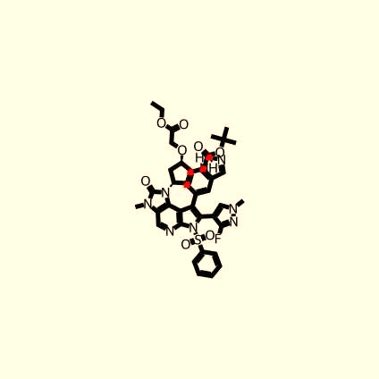 CCOC(=O)CO[C@@H]1C[C@@H](n2c(=O)n(C)c3cnc4c(c(-c5ccc6[nH]ncc6c5)c(-c5cn(C)nc5F)n4S(=O)(=O)c4ccccc4)c32)C[C@@H]1NC(=O)OC(C)(C)C